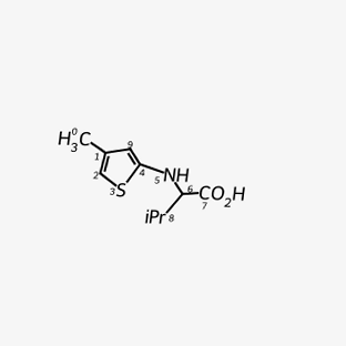 Cc1csc(NC(C(=O)O)C(C)C)c1